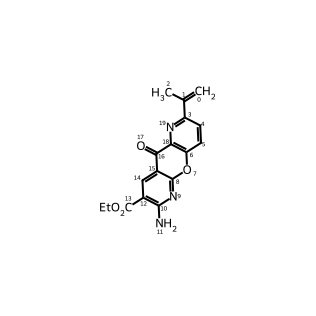 C=C(C)c1ccc2oc3nc(N)c(C(=O)OCC)cc3c(=O)c2n1